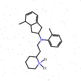 CC[N+]1(CC)CCCCC1CCN(c1ccccc1C)C1CC2=CC=CC(C)C2C1